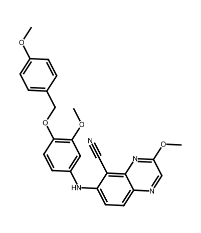 COc1ccc(COc2ccc(Nc3ccc4ncc(OC)nc4c3C#N)cc2OC)cc1